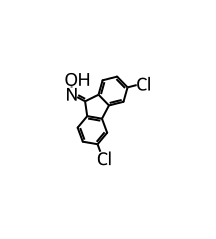 ON=C1c2ccc(Cl)cc2-c2cc(Cl)ccc21